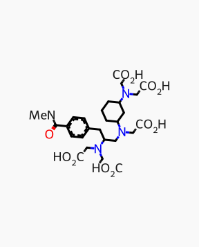 CNC(=O)c1ccc(CC(CN(CC(=O)O)C2CCCC(N(CC(=O)O)CC(=O)O)C2)N(CC(=O)O)CC(=O)O)cc1